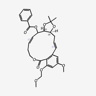 COCOc1cc(OC)cc2c1C(=O)OCC/C=C\C(OC(=O)c1ccccc1)[C@H]1OC(C)(C)O[C@H]1C/C=C/2